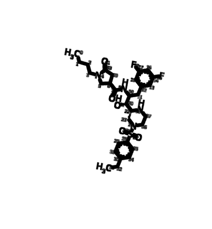 CCCCN1CC(C(=O)NC(Cc2cc(F)cc(F)c2)[C@H](O)[C@H]2CN(S(=O)(=O)c3ccc(CC)cc3)CCN2)CC1=O